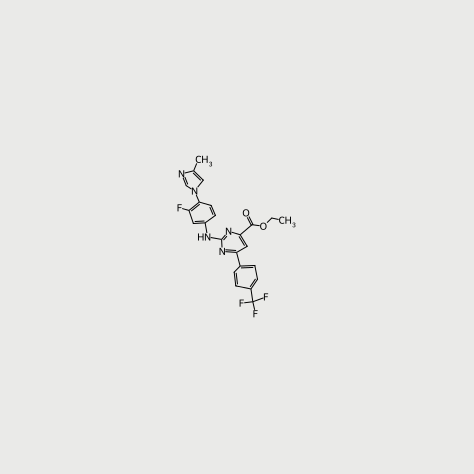 CCOC(=O)c1cc(-c2ccc(C(F)(F)F)cc2)nc(Nc2ccc(-n3cnc(C)c3)c(F)c2)n1